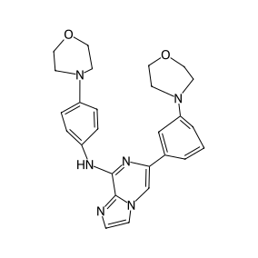 c1cc(-c2cn3ccnc3c(Nc3ccc(N4CCOCC4)cc3)n2)cc(N2CCOCC2)c1